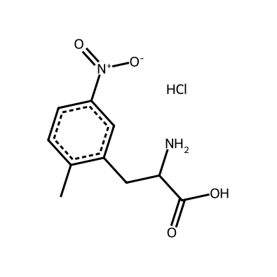 Cc1ccc([N+](=O)[O-])cc1CC(N)C(=O)O.Cl